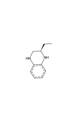 CC[C@@H]1CNc2ccccc2N1